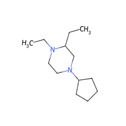 CCC1CN(C2CCCC2)CCN1CC